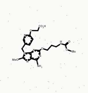 COc1nc2c(N)nc(OCCCNC(=O)OC(C)(C)C)nc2n1Cc1ccc(OCC(=O)O)nc1